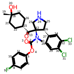 CN(C(=O)Oc1ccc(F)cc1)[C@@]1(C(=O)[C@H]2CC[C@@](C)(O)CC2)CNC[C@@H]1c1ccc(Cl)c(Cl)c1